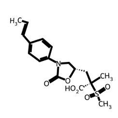 C/C=C/c1ccc(N2C[C@H](C[C@](C)(C(=O)O)S(C)(=O)=O)OC2=O)cc1